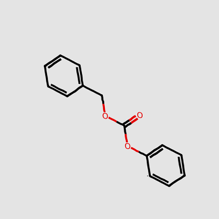 O=C(OCc1ccccc1)Oc1[c]cccc1